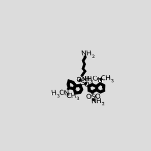 CN(C)c1cccc2c(S(=O)(=O)NCCCCCCN)cccc12.CN(C)c1cccc2c(S(N)(=O)=O)cccc12